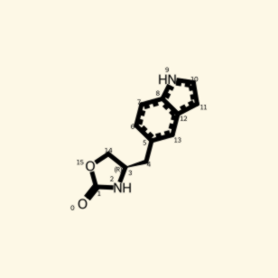 O=C1N[C@H](Cc2ccc3[nH]ccc3c2)CO1